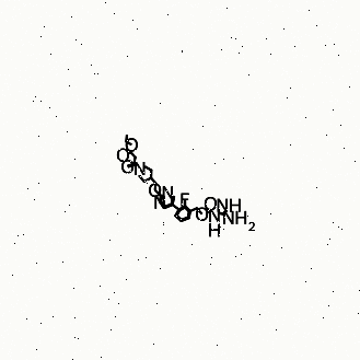 CCOC(=O)CC(=O)N1CCC(COc2ncc(-c3cccc(COC(=O)NC(=N)N)c3F)cn2)CC1